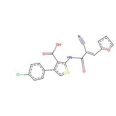 N#CC(=Cc1ccco1)C(=O)Nc1scc(-c2ccc(Cl)cc2)c1C(=O)O